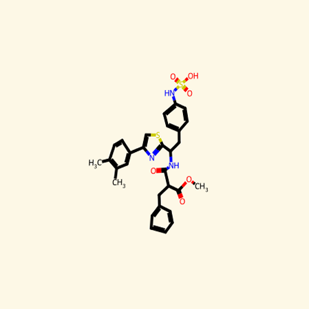 COC(=O)C(Cc1ccccc1)C(=O)NC(Cc1ccc(NS(=O)(=O)O)cc1)c1nc(-c2ccc(C)c(C)c2)cs1